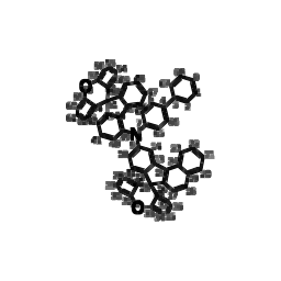 c1ccc(-c2ccc(N(c3ccc4c(c3)-c3c(ccc5ccccc35)C43c4ccccc4Oc4ccccc43)c3cccc4c3-c3ccccc3C43c4ccccc4Oc4ccccc43)cc2)cc1